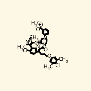 COC(=O)c1cccc(N2CCN(C(=O)c3[nH]c4c(-c5c(C)nn(C)c5C)c(Cl)ccc4c3CCCOc3cc(C)c(Cl)c(C)c3)CC2)c1